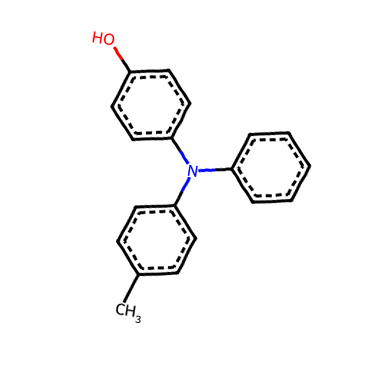 Cc1ccc(N(c2ccccc2)c2ccc(O)cc2)cc1